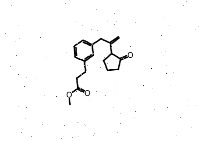 C=C(Cc1cccc(CCC(=O)OC)c1)C1CCCC1=O